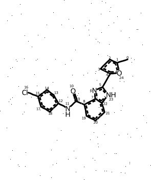 Cc1ccc(-c2nc3c(C(=O)Nc4ccc(Cl)cc4)cccc3[nH]2)o1